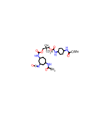 BC(=O)NC1CCC(NC(=O)OCC(C)(COC(=O)NC2CCC(NC(=O)OC)CC2)C(=O)O)CC(N=C=O)C1